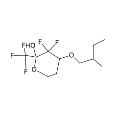 CCC(C)COC1CCOC(O)(C(F)(F)F)C1(F)F